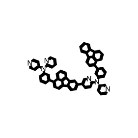 c1ccc(N(c2ccncc2)c2cccc(-c3ccc4c5c(cccc35)-c3cc(-c5ccc(N(c6cccnc6)c6cccc(-c7ccc8c9c(cccc79)-c7ccccc7-8)c6)nc5)ccc3-4)c2)nc1